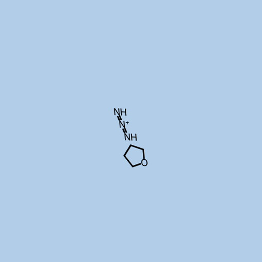 C1CCOC1.N=[N+]=N